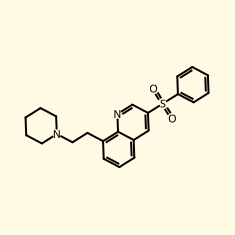 O=S(=O)(c1ccccc1)c1cnc2c(CCN3CCCCC3)cccc2c1